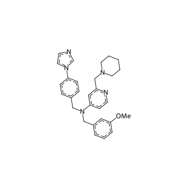 COc1cccc(CN(Cc2ccc(-n3ccnc3)cc2)c2ccnc(CN3CCCCC3)c2)c1